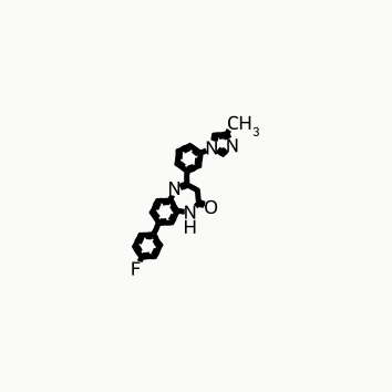 Cc1cn(-c2cccc(C3=Nc4ccc(-c5ccc(F)cc5)cc4NC(=O)C3)c2)cn1